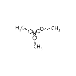 CC#Cc1ccc(N(c2ccc(C#CC)cc2)c2ccc(OCCCCCC)cc2)cc1